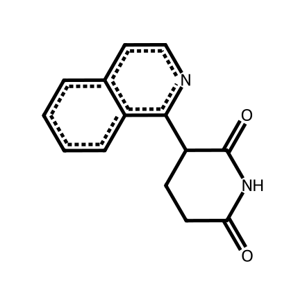 O=C1CCC(c2nccc3ccccc23)C(=O)N1